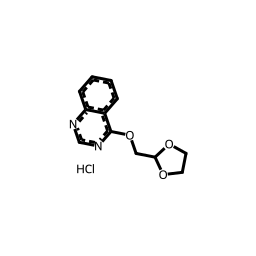 Cl.c1ccc2c(OCC3OCCO3)ncnc2c1